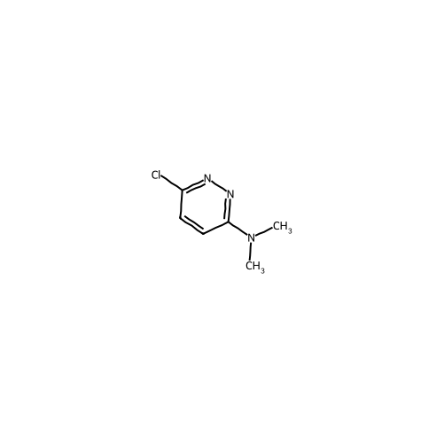 CN(C)c1ccc(Cl)nn1